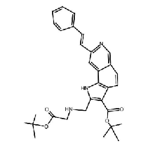 CC(C)(C)OC(=O)CNCc1[nH]c2c(ccc3cnc(/C=C/c4ccccc4)cc32)c1C(=O)OC(C)(C)C